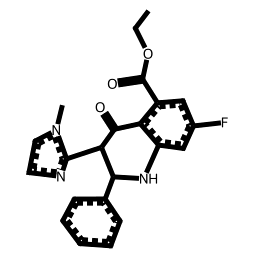 CCOC(=O)c1cc(F)cc2c1C(=O)C(c1nccn1C)C(c1ccccc1)N2